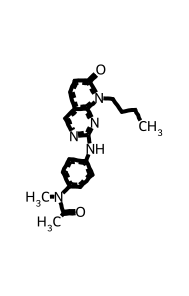 CCCCn1c(=O)ccc2cnc(Nc3ccc(N(C)C(C)=O)cc3)nc21